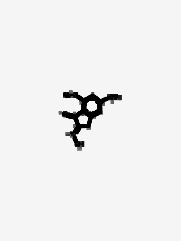 COc1cc2c(c(OC)c1)C(=O)/C(=N/O)C2